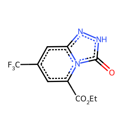 CCOC(=O)c1cc(C(F)(F)F)cc2n[nH]c(=O)n12